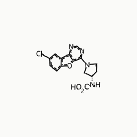 O=C(O)N[C@H]1CCN(c2ncnc3c2oc2ccc(Cl)cc23)C1